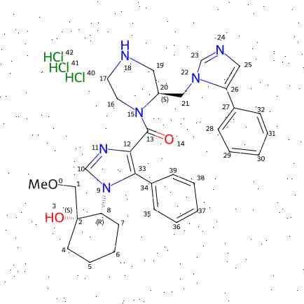 COC[C@]1(O)CCCC[C@H]1n1cnc(C(=O)N2CCNC[C@H]2Cn2cncc2-c2ccccc2)c1-c1ccccc1.Cl.Cl.Cl